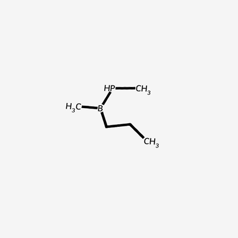 CCCB(C)PC